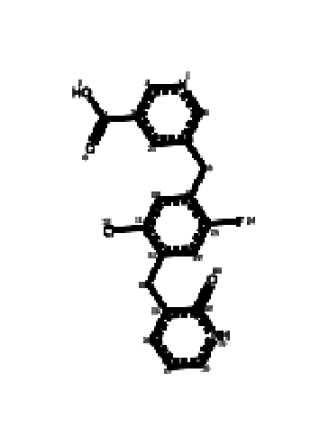 O=C(O)c1cncc(Cc2cc(Cl)c(Cc3ccc[nH]c3=O)cc2F)c1